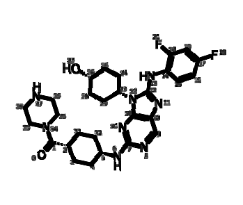 O=C([C@H]1CC[C@H](Nc2ncc3nc(Nc4ccc(F)cc4F)n([C@H]4CC[C@@H](O)CC4)c3n2)CC1)N1CCNCC1